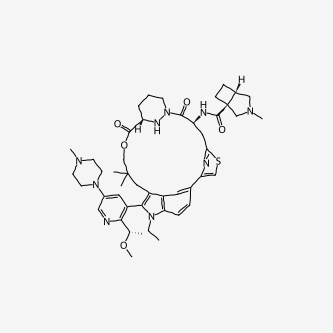 CCn1c(-c2cc(N3CCN(C)CC3)cnc2[C@H](C)OC)c2c3cc(ccc31)-c1csc(n1)C[C@H](NC(=O)[C@@]13CC[C@@H]1CN(C)C3)C(=O)N1CCC[C@H](N1)C(=O)OCC(C)(C)C2